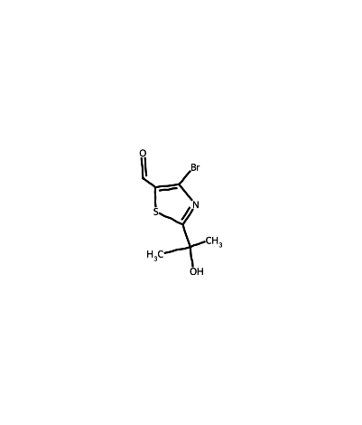 CC(C)(O)c1nc(Br)c(C=O)s1